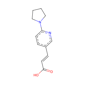 O=C(O)C=Cc1ccc(N2CCCC2)nc1